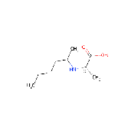 CCCCC(C)N[C@@H](C)C(=O)O